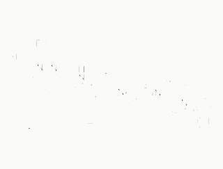 CC[C@@H]1CC(NC(=O)c2nn(C(F)F)c3ccc(F)cc23)CCN1CCN1CCN(C(C)=O)CC1